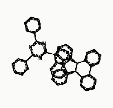 c1ccc(-c2nc(-c3ccccc3)nc(-c3ccc4c5c(cccc35)C35c6ccccc6-c6ccccc6C43c3ccccc3-c3ccccc35)n2)cc1